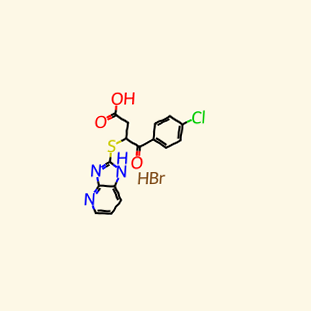 Br.O=C(O)CC(Sc1nc2ncccc2[nH]1)C(=O)c1ccc(Cl)cc1